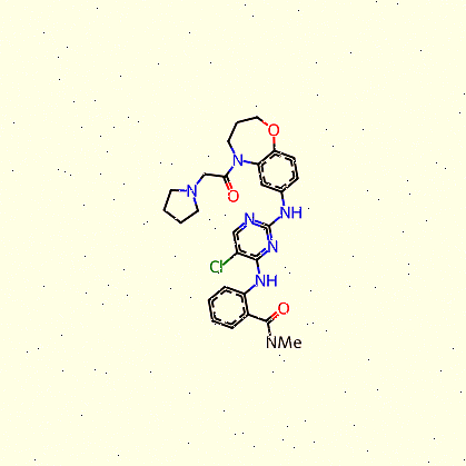 CNC(=O)c1ccccc1Nc1nc(Nc2ccc3c(c2)N(C(=O)CN2CCCC2)CCCO3)ncc1Cl